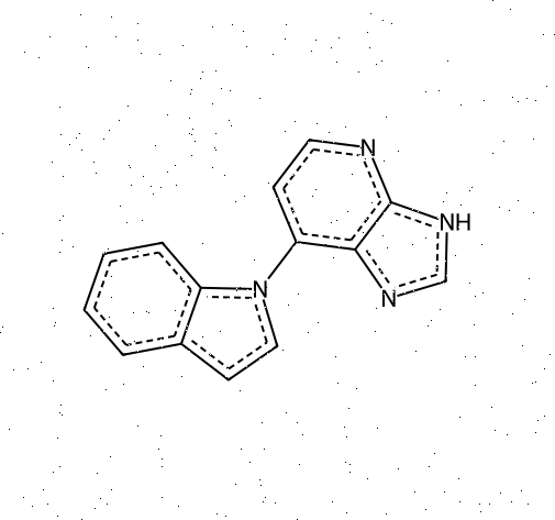 c1ccc2c(c1)ccn2-c1ccnc2[nH]cnc12